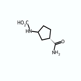 NC(=O)[C@H]1CCC(NC(=O)O)C1